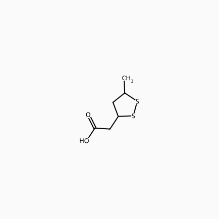 CC1CC(CC(=O)O)SS1